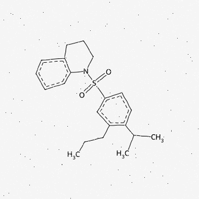 CCCc1cc(S(=O)(=O)N2CCCc3ccccc32)ccc1C(C)C